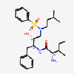 CCC(C)[C@H](N)C(=O)N[C@@H](Cc1ccccc1)[C@H](O)CN(CCC(C)C)S(=O)(=O)c1ccccc1